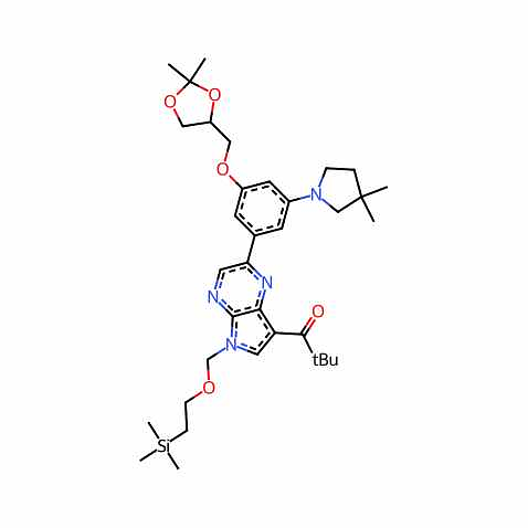 CC1(C)CCN(c2cc(OCC3COC(C)(C)O3)cc(-c3cnc4c(n3)c(C(=O)C(C)(C)C)cn4COCC[Si](C)(C)C)c2)C1